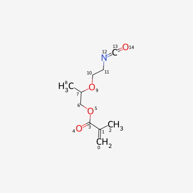 C=C(C)C(=O)OCC(C)OCCN=C=O